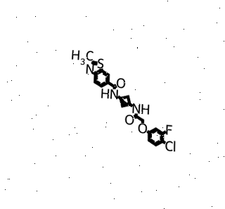 Cc1nc2ccc(C(=O)NC34CC(NC(=O)COc5ccc(Cl)c(F)c5)(C3)C4)cc2s1